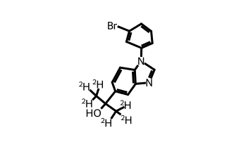 [2H]C([2H])([2H])C(O)(c1ccc2c(c1)ncn2-c1cccc(Br)c1)C([2H])([2H])[2H]